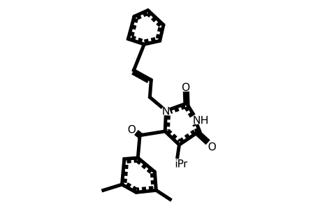 Cc1cc(C)cc(C(=O)c2c(C(C)C)c(=O)[nH]c(=O)n2C/C=C/c2ccccc2)c1